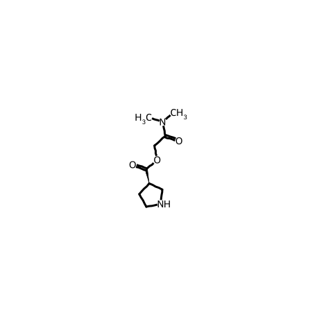 CN(C)C(=O)COC(=O)[C@@H]1CCNC1